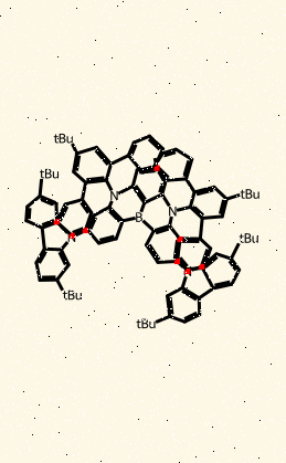 Cc1cc2c3c(c1)N(c1c(-c4ccccc4)cc(C(C)(C)C)cc1-c1ccccc1)c1cc(-n4c5cc(C(C)(C)C)ccc5c5ccc(C(C)(C)C)cc54)ccc1B3c1ccc(-n3c4cc(C(C)(C)C)ccc4c4ccc(C(C)(C)C)cc43)cc1N2c1c(-c2ccccc2)cc(C(C)(C)C)cc1-c1ccccc1